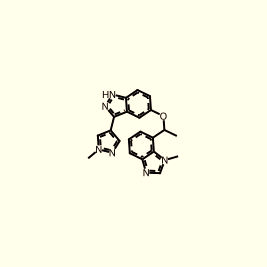 CC(Oc1ccc2[nH]nc(-c3cnn(C)c3)c2c1)c1cccc2ncn(C)c12